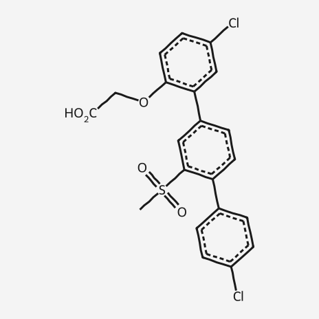 CS(=O)(=O)c1cc(-c2cc(Cl)ccc2OCC(=O)O)ccc1-c1ccc(Cl)cc1